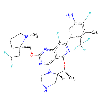 Cc1c(F)c(N)cc(-c2nc3c4c(nc(OC[C@@]5(CC(F)F)CCCN5C)nc4c2F)N2CCNC[C@H]2[C@H](C)O3)c1C(F)(F)F